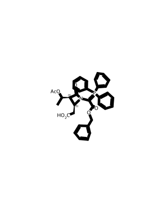 CC(=O)OC(C)[C@H]1C(=O)N(C(C(=O)OCc2ccccc2)=P(c2ccccc2)(c2ccccc2)c2ccccc2)[C@H]1CC(=O)O